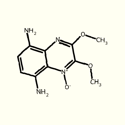 COc1nc2c(N)ccc(N)c2[n+]([O-])c1OC